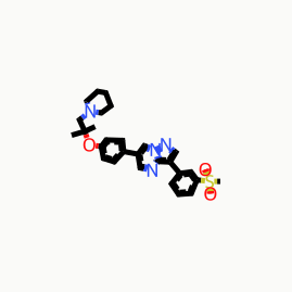 CC(C)(CN1CCCCC1)Oc1ccc(-c2cnc3c(-c4cccc(S(C)(=O)=O)c4)cnn3c2)cc1